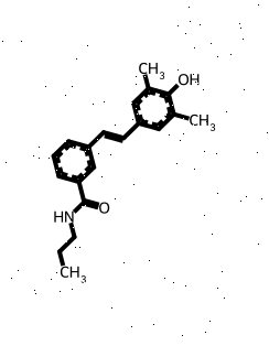 CCCNC(=O)c1cccc(/C=C/c2cc(C)c(O)c(C)c2)c1